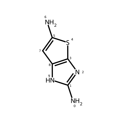 Nc1nc2sc(N)cc2[nH]1